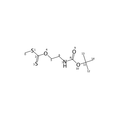 CSC(=S)OCCNC(=O)OC(C)(C)C